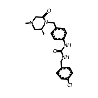 C[C@H]1CN(C)CC(=O)N1Cc1ccc(NC(=O)NCc2ccc(Cl)cc2)cc1